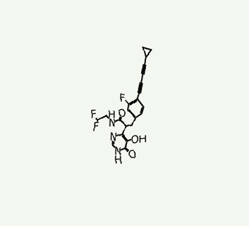 O=C(NCC(F)F)C(Cc1ccc(C#CC#CC2CC2)c(F)c1)c1nc[nH]c(=O)c1O